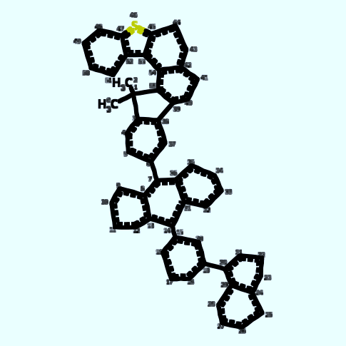 CC1(C)c2ccc(-c3c4ccccc4c(-c4cccc(-c5cccc6ccccc56)c4)c4ccccc34)cc2-c2ccc3ccc4sc5ccccc5c4c3c21